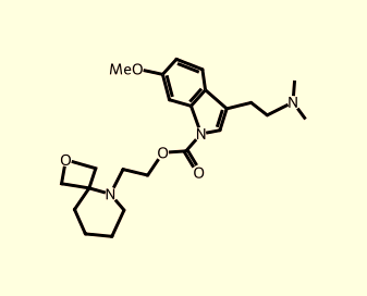 COc1ccc2c(CCN(C)C)cn(C(=O)OCCN3CCCCC34COC4)c2c1